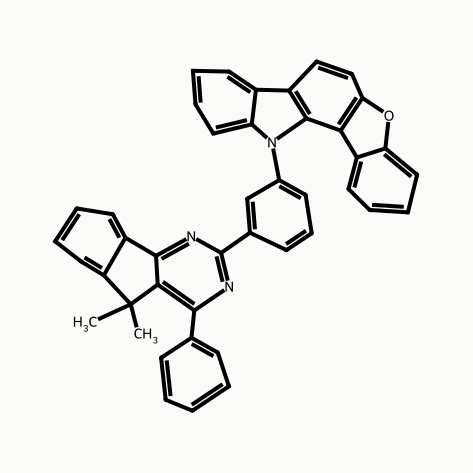 CC1(C)c2ccccc2-c2nc(-c3cccc(-n4c5ccccc5c5ccc6oc7ccccc7c6c54)c3)nc(-c3ccccc3)c21